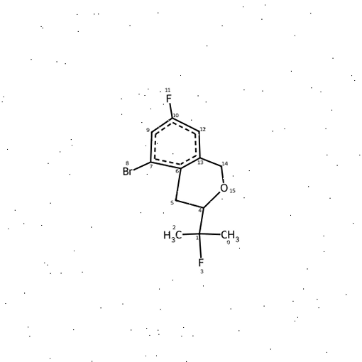 CC(C)(F)C1Cc2c(Br)cc(F)cc2CO1